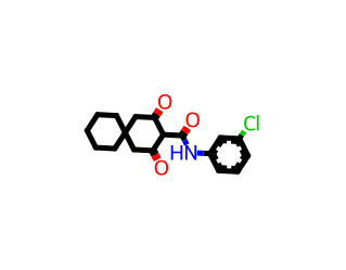 O=C1CC2(CCCCC2)CC(=O)C1C(=O)Nc1cccc(Cl)c1